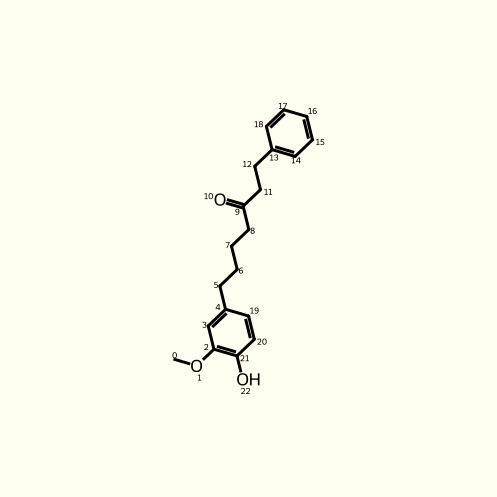 COc1cc(CCCCC(=O)CCc2ccccc2)ccc1O